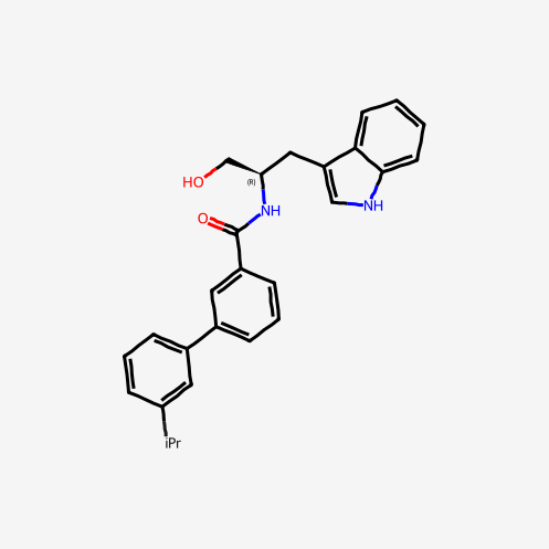 CC(C)c1cccc(-c2cccc(C(=O)N[C@@H](CO)Cc3c[nH]c4ccccc34)c2)c1